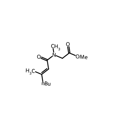 CCCC/C(C)=C/C(=O)N(C)CC(=O)OC